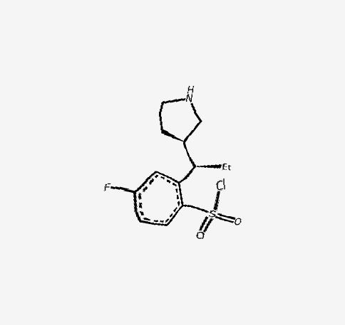 CC[C@@H](c1cc(F)ccc1S(=O)(=O)Cl)[C@H]1CCNC1